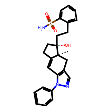 C[C@]12Cc3cnn(-c4ccccc4)c3C=C1CC[C@@]2(O)CCc1ccccc1S(N)(=O)=O